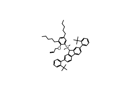 C=CCOc1c(CCCCC)cc(CCCCC)cc1[Si](C)(C)C1c2cc(-c3ccccc3C(C)(C)C)ccc2-c2ccc(-c3ccccc3C(C)(C)C)cc21